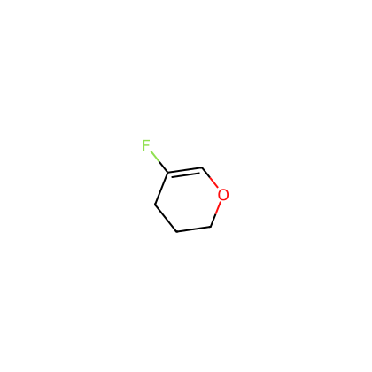 FC1=COCCC1